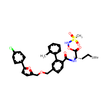 CSCC[C@H](NC(=O)c1ccc(COCc2ccc(-c3ccc(Cl)cc3)o2)cc1-c1ccccc1C)C(=O)ONS(C)(=O)=O